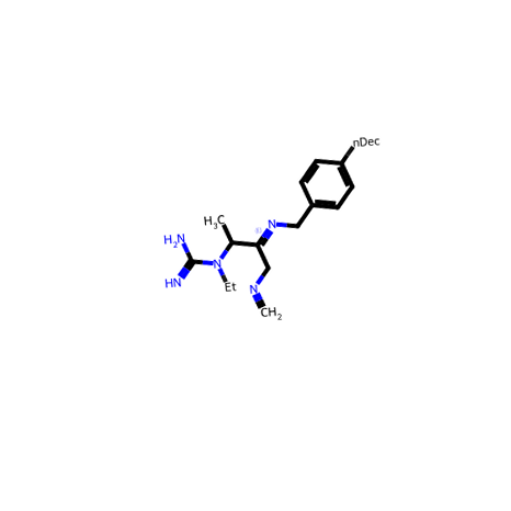 C=NC/C(=N\Cc1ccc(CCCCCCCCCC)cc1)C(C)N(CC)C(=N)N